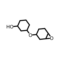 OC1CCCC(OC2CCC3OC3C2)C1